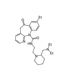 CCc1ccc2c(c1)C(=O)Cc1cccnc1N2C(=O)NCCN1CCCCC1CN(CC)CC